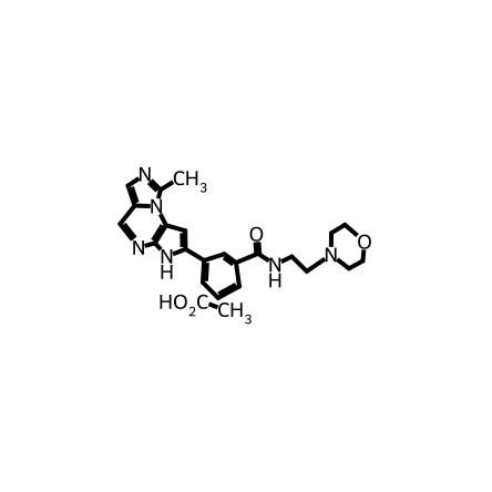 CC(=O)O.Cc1ncc2cnc3[nH]c(-c4cccc(C(=O)NCCN5CCOCC5)c4)cc3n12